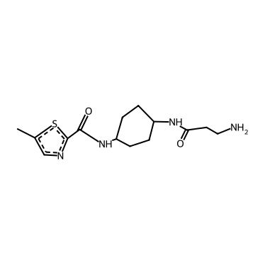 Cc1cnc(C(=O)NC2CCC(NC(=O)CCN)CC2)s1